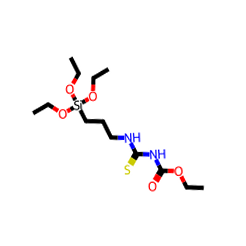 CCOC(=O)NC(=S)NCCC[Si](OCC)(OCC)OCC